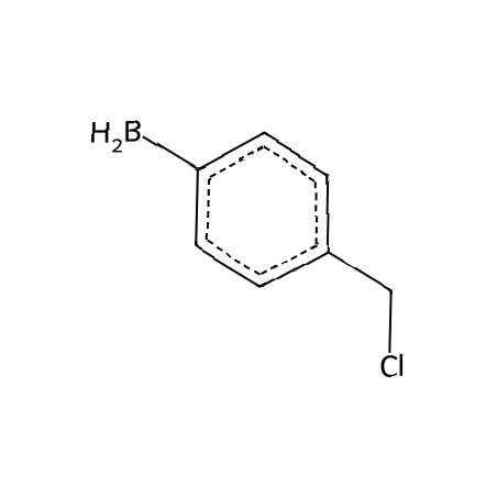 Bc1ccc(CCl)cc1